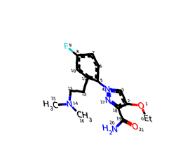 CCOc1cn(-c2ccc(F)cc2CCN(C)C)nc1C(N)=O